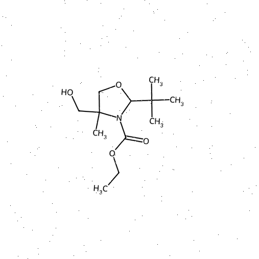 CCOC(=O)N1C(C(C)(C)C)OCC1(C)CO